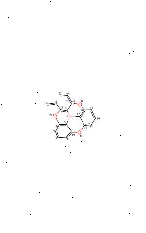 C=CC1=C2B3c4c(cccc4Oc4cccc(c43)O/C2=C/C)O1